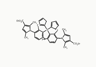 CCOC(=O)c1cc(C)n(-c2ccc(F)[c]([Ti]([C]3=CC=CC3)([C]3=CC=CC3)[c]3c(F)ccc(-n4c(C)cc(C(=O)OCC)c4C)c3F)c2F)c1C